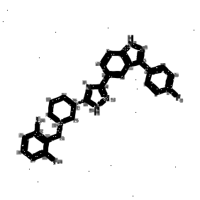 Fc1ccc(-c2n[nH]c3ccc(-c4n[nH]c([C@H]5CCCN(Cc6c(F)cccc6F)C5)n4)cc23)cc1